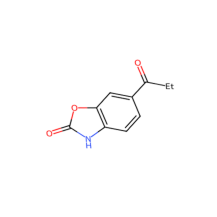 CCC(=O)c1ccc2[nH]c(=O)oc2c1